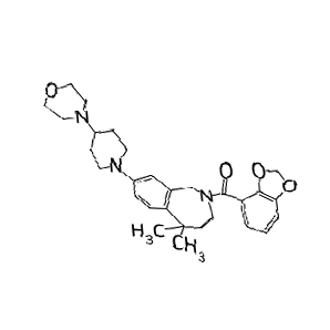 CC1(C)CCN(C(=O)c2cccc3c2OCO3)Cc2cc(N3CCC(N4CCOCC4)CC3)ccc21